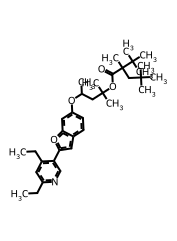 CCc1cc(CC)c(-c2cc3ccc(OC(C)CC(C)(C)OC(=O)C(C)(CC(C)(C)C)C(C)(C)C)cc3o2)cn1